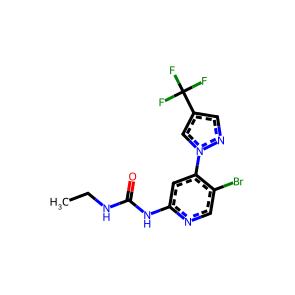 CCNC(=O)Nc1cc(-n2cc(C(F)(F)F)cn2)c(Br)cn1